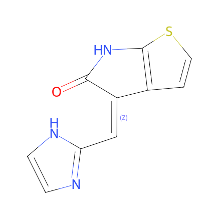 O=C1Nc2sccc2/C1=C/c1ncc[nH]1